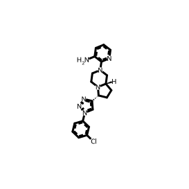 Nc1cccnc1N1CCN2[C@@H](CC[C@@H]2c2cn(-c3cccc(Cl)c3)nn2)C1